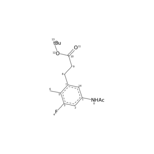 CC(=O)Nc1cc(F)c(C)c(CCC(=O)OC(C)(C)C)c1